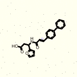 O=C(O)CC(NC(=O)/C=C/c1ccc(-c2ccccc2)cc1)c1ccco1